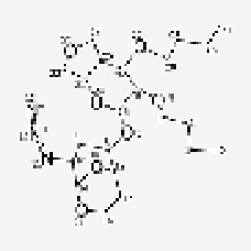 CCCCOC1C(OC2CC(N=[N+]=[N-])C3OCCC2O3)OC2COCC2C1OCCCC